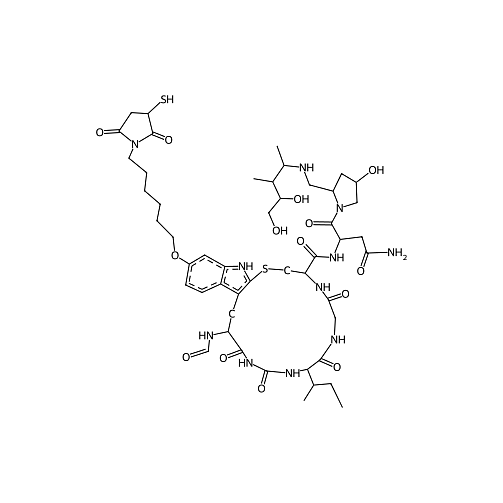 CCC(C)C1NC(=O)NC(=O)C(NC=O)Cc2c([nH]c3cc(OCCCCCCN4C(=O)CC(S)C4=O)ccc23)SCC(C(=O)NC(CC(N)=O)C(=O)N2CC(O)CC2CNC(C)C(C)C(O)CO)NC(=O)CNC1=O